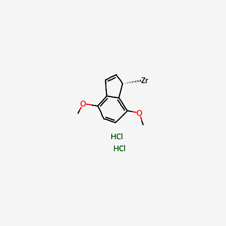 COc1ccc(OC)c2c1C=C[C@@H]2[Zr].Cl.Cl